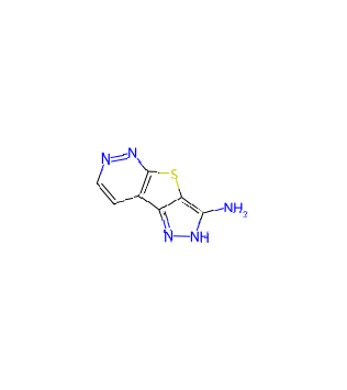 Nc1[nH]nc2c1sc1nnccc12